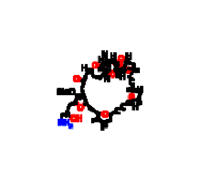 C=C1C2CC3OC(C[C@H](O)CN)[C@H](OC)C3CC(=O)C[C@H]3CC[C@@H]4O[C@@H]5[C@H]6O[C@@H]7C[C@](CC[C@H]8CC(=C)[C@H](CCC(C[C@H]1C)O2)O8)(O[C@H]6[C@H]4O3)O[C@H]57